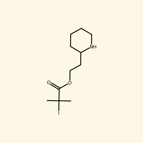 CC(C)(I)C(=O)OCCC1CCCCN1